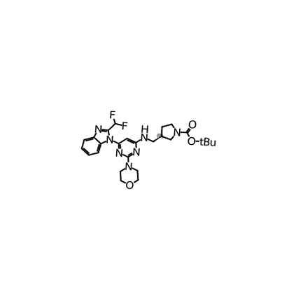 CC(C)(C)OC(=O)N1CC[C@H](CNc2cc(-n3c(C(F)F)nc4ccccc43)nc(N3CCOCC3)n2)C1